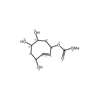 COC(=O)OC1/C=C/C(O)CC(O)C(O)C1